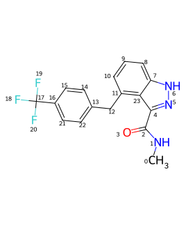 CNC(=O)c1n[nH]c2cccc(Cc3ccc(C(F)(F)F)cc3)c12